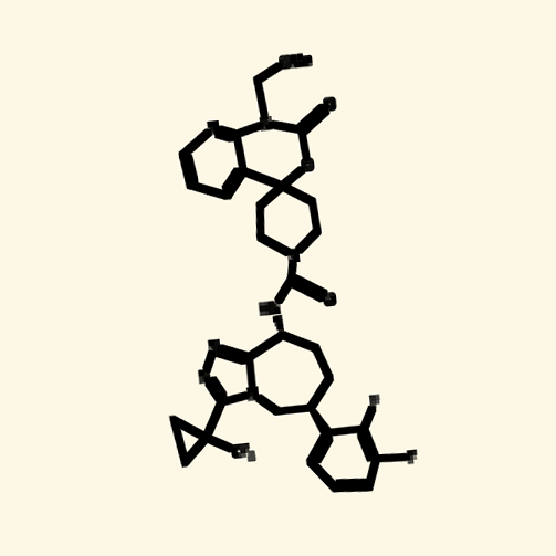 COCN1C(=O)OC2(CCN(C(=O)N[C@@H]3CC[C@@H](c4cccc(F)c4F)Cn4c3nnc4C3(C(F)(F)F)CC3)CC2)c2cccnc21